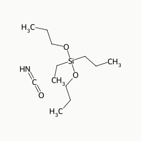 CCCO[Si](CC)(CCC)OCCC.N=C=O